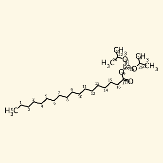 CCCCCCCCCCCCCCCCCC(=O)[O][La]([O]C(C)C)[O]C(C)C